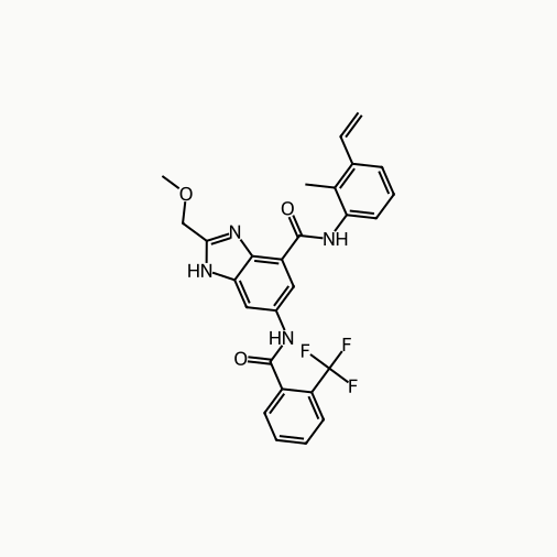 C=Cc1cccc(NC(=O)c2cc(NC(=O)c3ccccc3C(F)(F)F)cc3[nH]c(COC)nc23)c1C